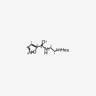 CCCCCCCCNC(=O)c1ccno1